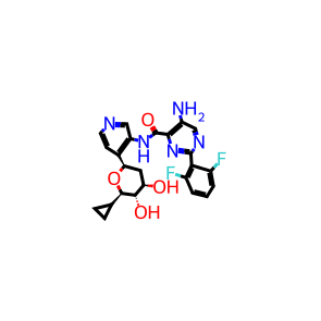 Nc1cnc(-c2c(F)cccc2F)nc1C(=O)Nc1cnccc1[C@H]1C[C@@H](O)[C@H](O)[C@@H](C2CC2)O1